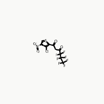 O=C(CC(=O)C(F)(F)C(F)(F)C(F)(F)F)c1scc([N+](=O)[O-])c1Cl